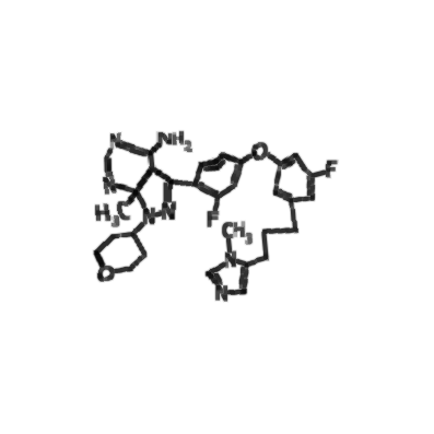 Cn1cncc1CCCc1cc(F)cc(Oc2ccc(C3=NN(C4CCOCC4)C4(C)N=CN=C(N)C34)c(F)c2)c1